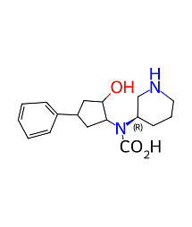 O=C(O)N(C1CC(c2ccccc2)CC1O)[C@@H]1CCCNC1